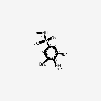 CNS(=O)(=O)c1cc(Br)c(N)c(Br)c1